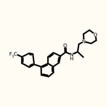 CC(CN1CCOCC1)NC(=O)c1ccc2c(-c3ccc(C(F)(F)F)cc3)cccc2c1